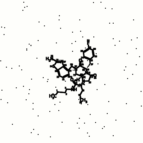 CCCCNC(=O)N(CCC)N1CC(=O)N2[C@@H](Cc3ccc(F)cc3)C(=O)N(Cc3cccc4sc(N)nc34)C[C@@H]21